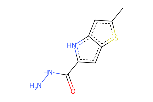 Cc1cc2[nH]c(C(=O)NN)cc2s1